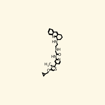 CN1C(OCC2CC2)=CSC1c1ccnc(NC(=O)CNCCNC2CCCc3cc4ccccc4nc32)c1